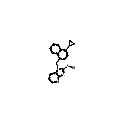 CCSc1nc2ncccc2n1Cc1ccc(C2CC2)c2ccccc12